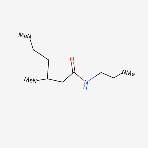 CNCCNC(=O)CC(CCNC)NC